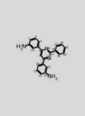 Nc1cccc(-c2cc(-c3cccc(N)c3)nc(-c3ccccc3)n2)c1